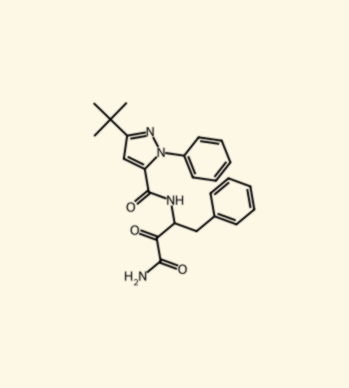 CC(C)(C)c1cc(C(=O)NC(Cc2ccccc2)C(=O)C(N)=O)n(-c2ccccc2)n1